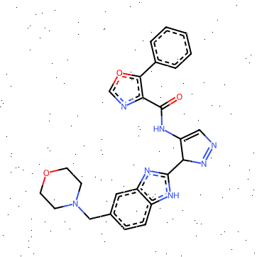 O=C(NC1=CN=NC1c1nc2cc(CN3CCOCC3)ccc2[nH]1)c1ncoc1-c1ccccc1